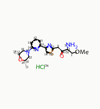 COC[C@H](N)C(=O)Cc1nc(-c2cccc(N3C[C@@H](C)O[C@@H](C)C3)n2)cs1.Cl